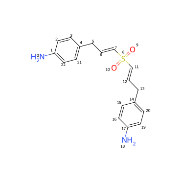 Nc1ccc(CC=CS(=O)(=O)C=CCc2ccc(N)cc2)cc1